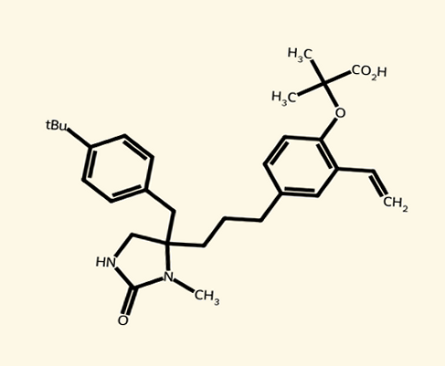 C=Cc1cc(CCCC2(Cc3ccc(C(C)(C)C)cc3)CNC(=O)N2C)ccc1OC(C)(C)C(=O)O